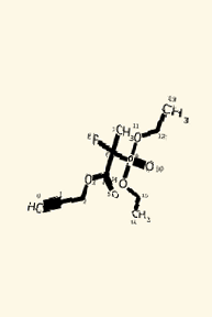 C#CCOC(=O)C(C)(F)P(=O)(OCC)OCC